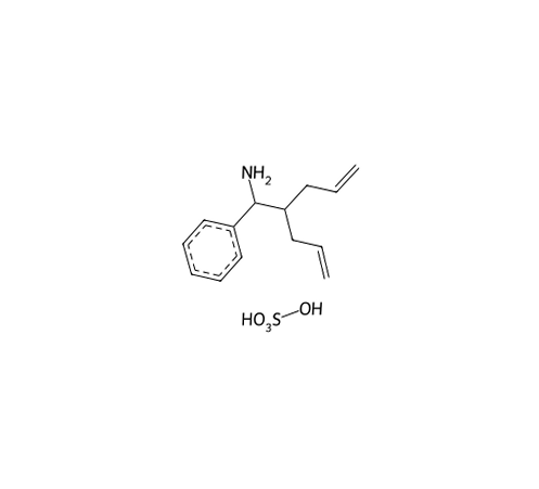 C=CCC(CC=C)C(N)c1ccccc1.O=S(=O)(O)O